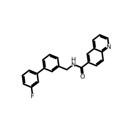 O=C(NCc1cccc(-c2cccc(F)c2)c1)c1ccc2ncccc2c1